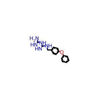 N=C(N)NC(=N)NCc1ccc(Oc2ccccc2)cc1